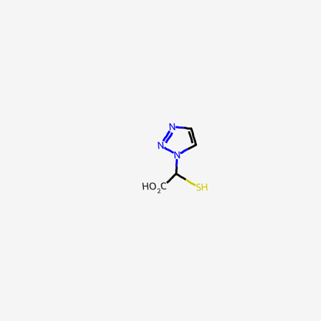 O=C(O)C(S)n1ccnn1